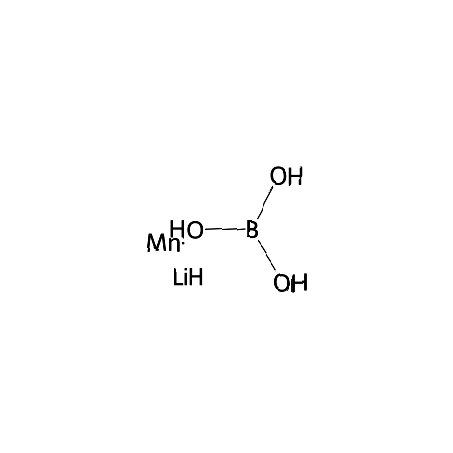 OB(O)O.[LiH].[Mn]